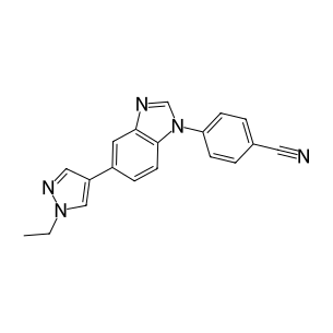 CCn1cc(-c2ccc3c(c2)ncn3-c2ccc(C#N)cc2)cn1